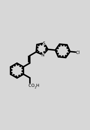 O=C(O)Cc1ccccc1C=Cc1csc(-c2ccc(Cl)cc2)n1